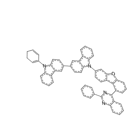 C1=CC(n2c3ccccc3c3cc(-c4ccc5c(c4)c4ccccc4n5-c4ccc5c(c4)oc4cccc(-c6nc(-c7ccccc7)nc7ccccc67)c45)ccc32)=CCC1